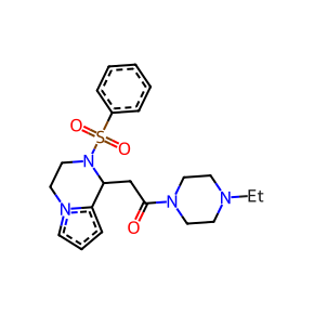 CCN1CCN(C(=O)CC2c3cccn3CCN2S(=O)(=O)c2ccccc2)CC1